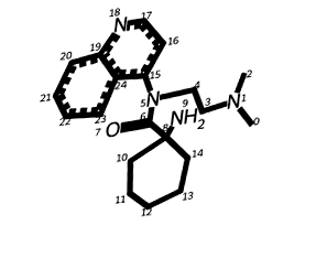 CN(C)CCN(C(=O)C1(N)CCCCC1)c1ccnc2ccccc12